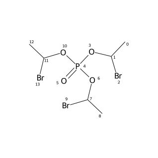 CC(Br)OP(=O)(OC(C)Br)OC(C)Br